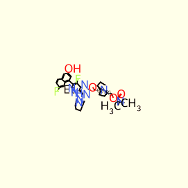 CCc1c(F)ccc2cc(O)cc(-c3nnc4c(N5CC6CCC(C5)N6)nc(OC[C@]56CCCN5[C@@H](COC(=O)N(C)C)CC6)nc4c3F)c12